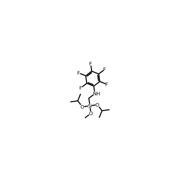 CO[Si](CNc1c(F)c(F)c(F)c(F)c1F)(OC(C)C)OC(C)C